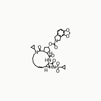 O=C1N[C@]2(C(=O)NS(=O)(=O)C3CC3)C[C@H]2/C=C\CCCCN(C2CC2)C(=O)C2C[C@H](OC(=O)N3Cc4ccc5c(c4C3)OCO5)C[C@@H]12